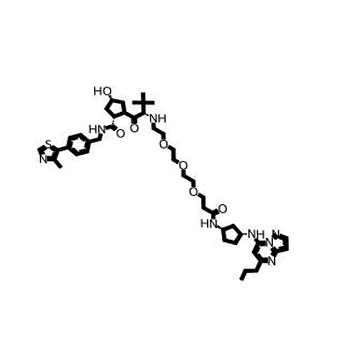 CCCc1cc(N[C@@H]2CC[C@@H](NC(=O)CCOCCOCCOCCN[C@H](C(=O)C3C[C@H](O)C[C@H]3C(=O)NCc3ccc(-c4scnc4C)cc3)C(C)(C)C)C2)n2nccc2n1